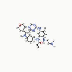 C=CC(=O)Nc1cc(Nc2ncnc(-c3c(C4=CCOCC4)n(C)c4ccccc34)n2)c(C)cc1N(C)CCN(C)C